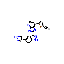 Cc1ccc(-c2ccnc3[nH]c(-c4n[nH]c5ccc(-c6cn[nH]c6)cc45)nc23)s1